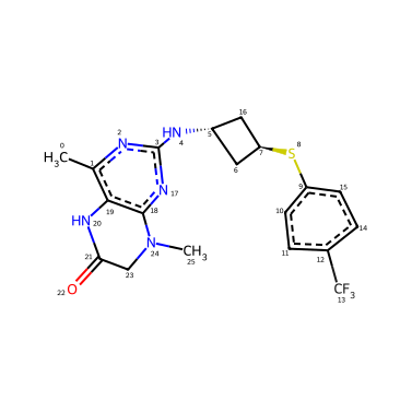 Cc1nc(N[C@H]2C[C@H](Sc3ccc(C(F)(F)F)cc3)C2)nc2c1NC(=O)CN2C